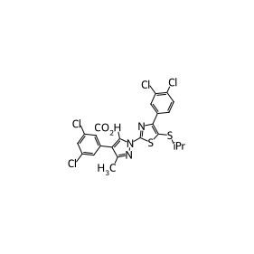 Cc1nn(-c2nc(-c3ccc(Cl)c(Cl)c3)c(SC(C)C)s2)c(C(=O)O)c1-c1cc(Cl)cc(Cl)c1